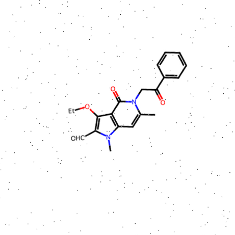 CCOc1c(C=O)n(C)c2cc(C)n(CC(=O)c3ccccc3)c(=O)c12